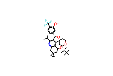 COc1cc([C@@H]2OC3(CCOCC3)c3c2c(C(C)C)nc2c3[C@@H](O[Si](C)(C)C(C)(C)C)CC3(CC3)C2)ccc1C(F)(F)F